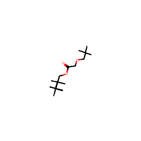 CC(C)(C)COCC(=O)OCC(C)(C)C(C)(C)C